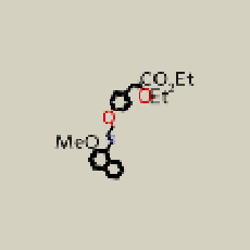 CCOC(=O)[C@H](Cc1ccc(OC/C=C/c2c(OC)ccc3ccccc23)cc1)OCC